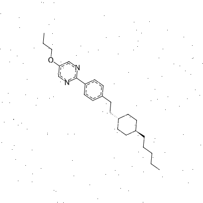 CCCCC[C@H]1CC[C@H](CCc2ccc(-c3ncc(OCCC)cn3)cc2)CC1